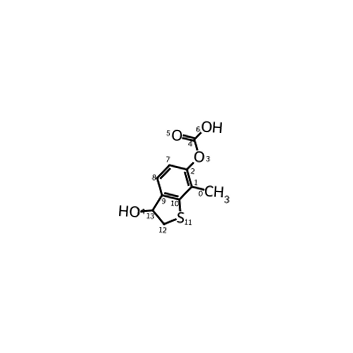 Cc1c(OC(=O)O)ccc2c1SCC2O